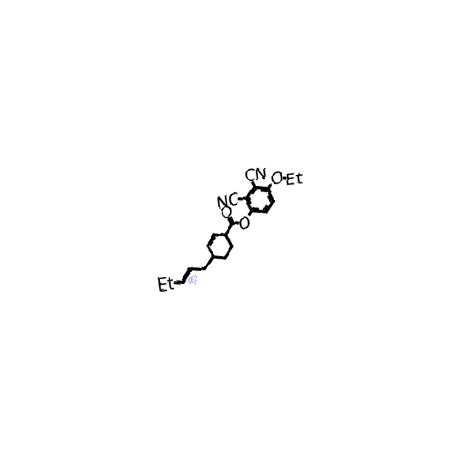 CC/C=C/CC1C=CC(C(=O)Oc2ccc(OCC)c(C#N)c2C#N)CC1